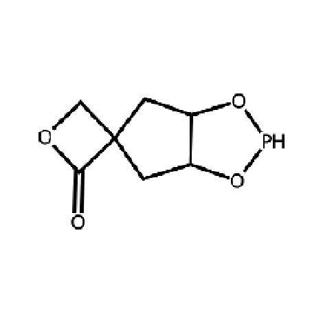 O=C1OCC12CC1OPOC1C2